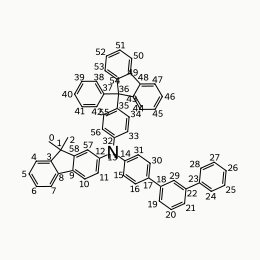 CC1(C)c2ccccc2-c2ccc(N(c3ccc(-c4cccc(-c5ccccc5)c4)cc3)c3ccc(C4(c5ccccc5)c5ccccc5-c5ccccc54)cc3)cc21